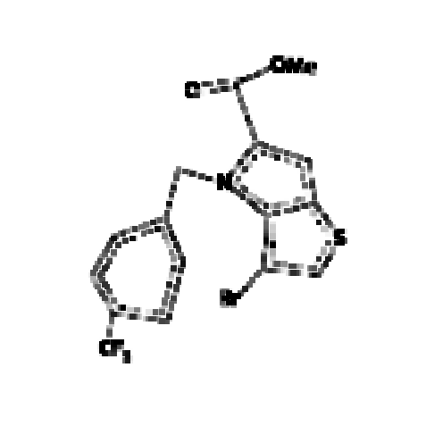 COC(=O)c1cc2scc(Br)c2n1Cc1ccc(C(F)(F)F)cc1